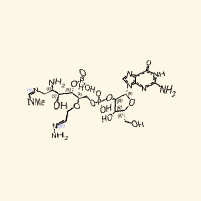 CN/C=N\C[C@@H](N)[C@H](O)[C@H](O[PH](=O)O)[C@@H](COP(=O)(O)O[C@@H]1[C@H](O)[C@@H](CO)O[C@H]1n1cnc2c(=O)[nH]c(N)nc21)OC/C=N/N